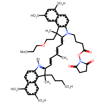 CC[N+]1=C(/C=C/C(C)=C/C=C2/N(CCCC(=O)ON3C(=O)CCC3=O)c3ccc4c(S(=O)(=O)O)cc(S(=O)(=O)O)cc4c3C2(C)CCOCCOC)C(C)(CCCS(=O)(=O)O)c2c1ccc1c(S(=O)(=O)O)cc(S(=O)(=O)O)cc21